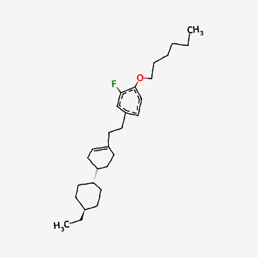 CCCCCCOc1ccc(CCC2=CCC([C@H]3CC[C@H](CC)CC3)CC2)cc1F